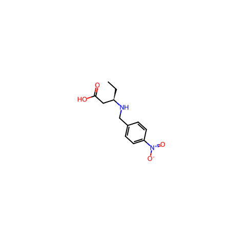 CC[C@H](CC(=O)O)NCc1ccc([N+](=O)[O-])cc1